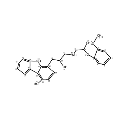 COc1ccccc1OC(C)CNCC(O)Cc1ccc(O)c2c1[nH]c1ccccc12